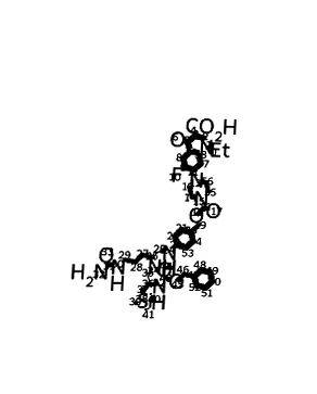 CCn1cc(C(=O)O)c(=O)c2cc(F)c(N3CCN(C(=O)OCc4ccc(NC[C@@H](CCCNC(N)=O)NC[C@@H](C[Si](C)(C)C)NC(=O)OCc5ccccc5)cc4)CC3)cc21